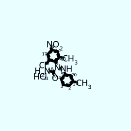 Cc1cccc(NN(C(N)=O)c2c(C)cc([N+](=O)[O-])cc2Cl)c1.Cl